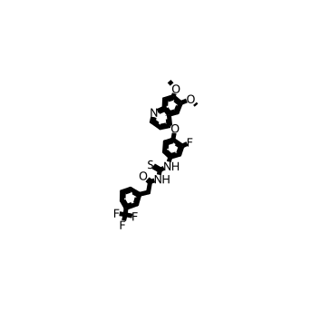 COc1cc2nccc(Oc3ccc(NC(=S)NC(=O)Cc4cccc(C(F)(F)F)c4)cc3F)c2cc1OC